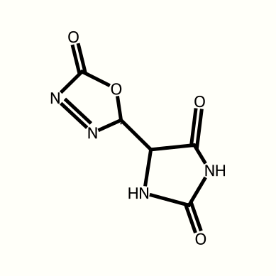 O=C1NC(=O)C([C]2N=NC(=O)O2)N1